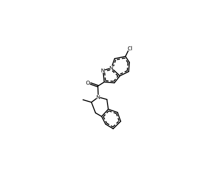 CC1Cc2ccccc2CN1C(=O)c1cc2ccc(Cl)cn2n1